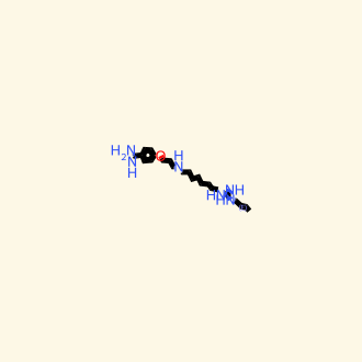 C/C=C/CNC(=N)NCCCCCCCCNCCCOc1ccc(C(=N)N)cc1